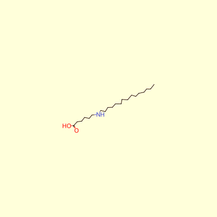 CCCCCCCCCCCCCCCNCCCCCC(=O)O